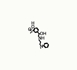 CN(CCCNCC(O)c1ccc(O)c([S+](C)[O-])c1)c1ccccc1